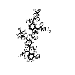 CC(CO[Si](C)(C)C(C)(C)C)N(CC(=O)NC(CN(C)C)c1cccc(Cl)c1F)C(=O)Cn1nc(C(N)=O)c2cc(NC(=O)OC(C)(C)C)ccc21